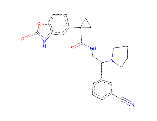 N#Cc1cccc(C(CNC(=O)C2(c3ccc4oc(=O)[nH]c4c3)CC2)N2CCCC2)c1